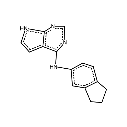 c1nc(Nc2ccc3c(c2)CCC3)c2cc[nH]c2n1